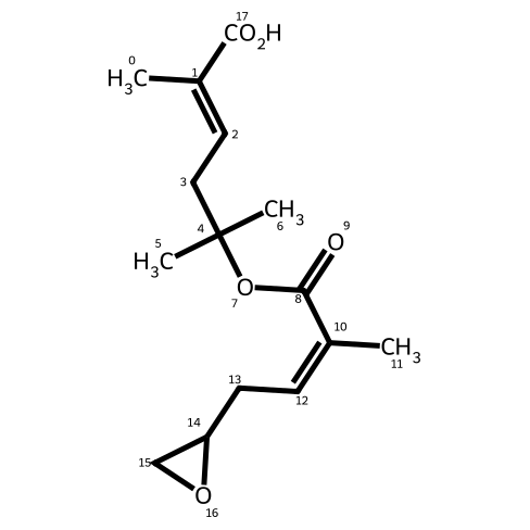 CC(=CCC(C)(C)OC(=O)C(C)=CCC1CO1)C(=O)O